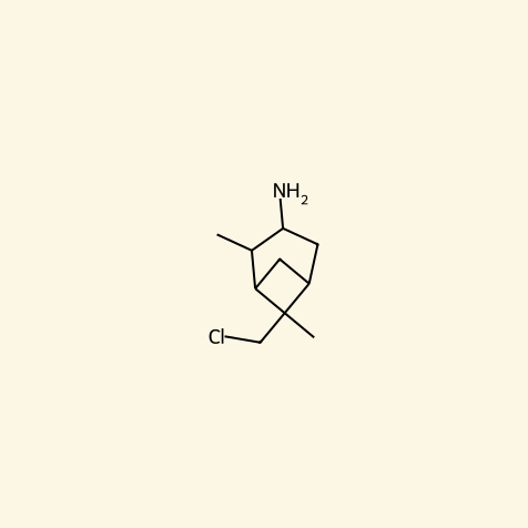 CC1C(N)CC2CC1C2(C)CCl